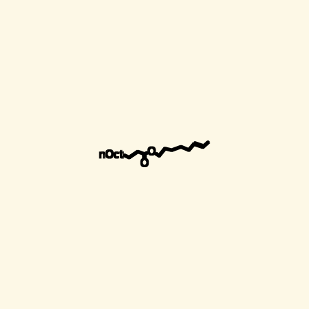 C/C=C/CCCCCOC(=O)CCCCCCCCCC